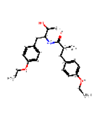 CC(O)[C@H](Cc1ccc(OCC(=O)O)cc1)NC(=O)[C@@H](C)Cc1ccc(OCC(=O)O)cc1